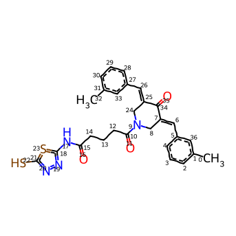 Cc1cccc(/C=C2\CN(C(=O)CCCC(=O)Nc3nnc(S)s3)C/C(=C\c3cccc(C)c3)C2=O)c1